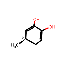 C[C@H]1C=C(O)C(O)=CC1